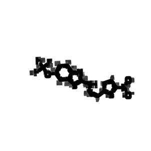 O=[N+]([O-])c1ccc(/C=N\Nc2nc3ccc(OC(F)(F)F)cc3s2)s1